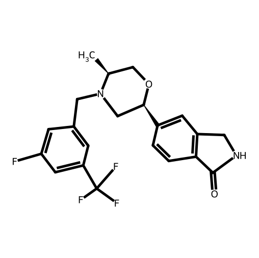 C[C@H]1CO[C@@H](c2ccc3c(c2)CNC3=O)CN1Cc1cc(F)cc(C(F)(F)F)c1